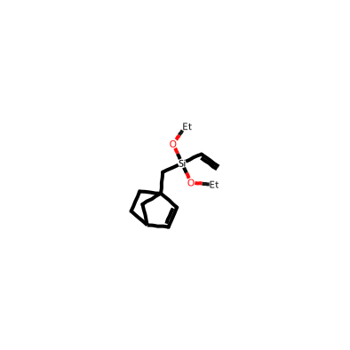 C=C[Si](CC12C=CC(CC1)C2)(OCC)OCC